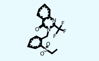 CCS(=O)(=O)c1ccccc1Cn1c(C(F)(F)F)nc2ccccc2c1=O